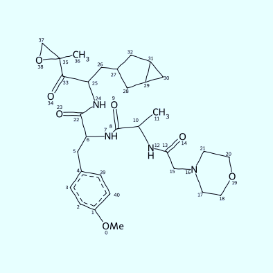 COc1ccc(CC(NC(=O)C(C)NC(=O)CN2CCOCC2)C(=O)NC(CC2CC3CC3C2)C(=O)C2(C)CO2)cc1